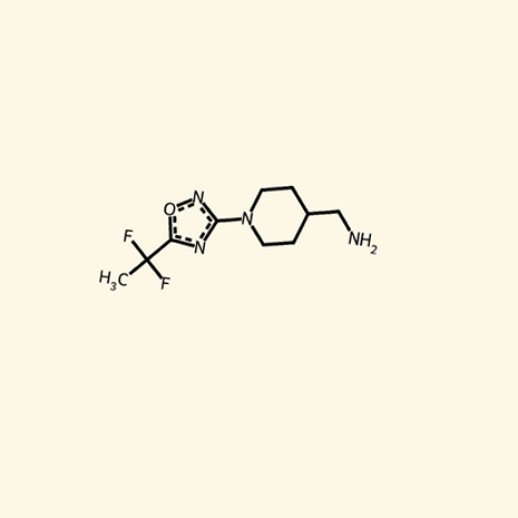 CC(F)(F)c1nc(N2CCC(CN)CC2)no1